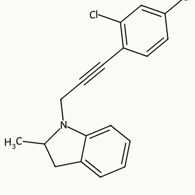 CC1Cc2ccccc2N1CC#Cc1ccc(Cl)cc1Cl